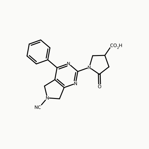 N#CN1Cc2nc(N3CC(C(=O)O)CC3=O)nc(-c3ccccc3)c2C1